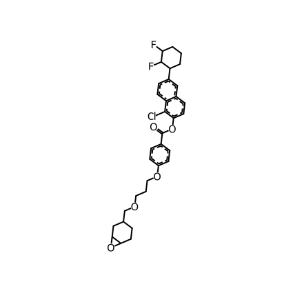 O=C(Oc1ccc2cc(C3CCCC(F)C3F)ccc2c1Cl)c1ccc(OCCCOCC2CCC3OC3C2)cc1